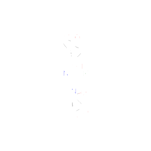 COc1cc2c(cc1OC)C(=O)N(CC1CCN(CC(O)Cc3cccc4c(OC)c(OC)ccc34)C1)CC2.Cl